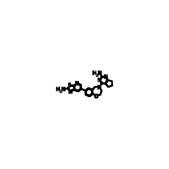 Nc1nc2c(c(N3CCOc4ccc(-c5cnc6sc(N)nc6c5)cc4C3)n1)CCC2